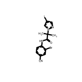 CC(C)(C(=O)Nc1ccc(C#N)cc1Br)n1cc(I)cn1